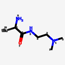 CN(C)CCNC(=O)C(N)C(C)(C)C